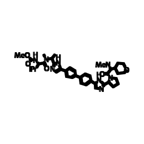 CNC(C(=O)N1CCCC1c1ncc(-c2ccc(-c3ccc(-c4cnc(C(C)N(C)C(=O)C(NC(=O)OC)C(C)C)[nH]4)cc3)cc2)[nH]1)C1CCOCC1